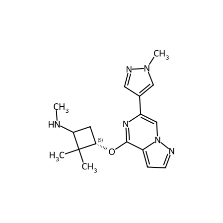 CNC1C[C@H](Oc2nc(-c3cnn(C)c3)cn3nccc23)C1(C)C